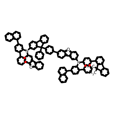 CC1(C)c2ccccc2-c2cccc(-c3ccc(N(c4ccc5oc6cc(-c7ccc(C8(c9ccccc9)c9ccccc9-c9ccc(N(c%10ccc%11oc%12ccccc%12c%11c%10)c%10cc(-c%11cccc%12ccccc%11%12)ccc%10-c%10ccccc%10)cc98)cc7)ccc6c5c4)c4cc(-c5cccc6ccccc56)ccc4-c4ccccc4)cc3)c21